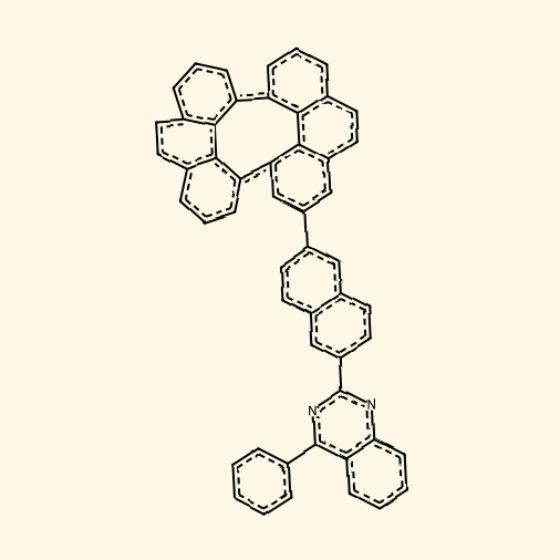 c1ccc(-c2nc(-c3ccc4cc(-c5cc6ccc7cccc8c9cccc%10ccc%11cccc(c(c5)c6c78)c%11c%109)ccc4c3)nc3ccccc23)cc1